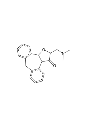 CN(C)CC1OC2c3ccccc3Cc3ccccc3C2C1=O